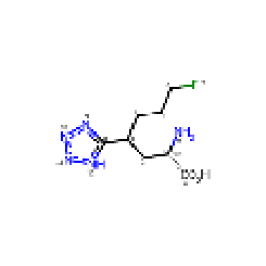 N[C@@H](CC(CCCF)c1nnn[nH]1)C(=O)O